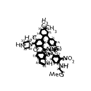 COCCNc1ccc(S(=O)(=O)NC(=O)c2cc(C3=C(c4ccc(Cl)cc4)CC(C)(C)CC3)c(C)c(N3CCNCC3)c2Oc2ccc3[nH]ccc3c2)cc1[N+](=O)[O-]